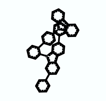 c1ccc(-c2ccc3c4ccc(-c5ccccc5)cc4n(-c4ccccc4-c4ccc(-n5c6ccccc6c6ccccc65)cc4)c3c2)cc1